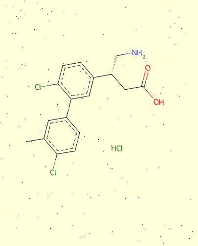 Cc1cc(-c2cc([C@H](CN)CC(=O)O)ccc2Cl)ccc1Cl.Cl